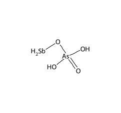 O=[As](O)(O)[O][SbH2]